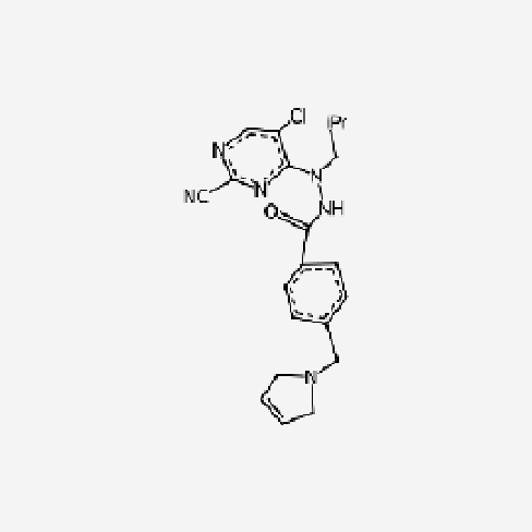 CC(C)CN(NC(=O)c1ccc(CN2CC=CC2)cc1)c1nc(C#N)ncc1Cl